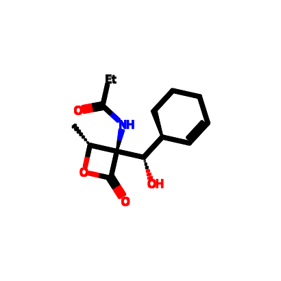 CCC(=O)N[C@@]1([C@@H](O)[C@@H]2C=CCCC2)C(=O)O[C@@H]1C